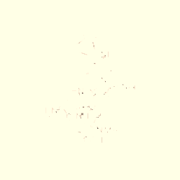 CCCCCCCCCC(=O)N1Cc2[nH]c3ccccc3c2CC1C(=O)NC(CC(N)=O)C(=O)NC(CC(=O)O)C(=O)NC